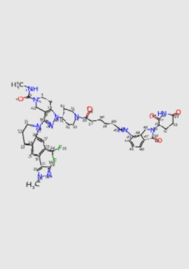 CNC(=O)N1CCc2c(c(N3CCCc4cc(-c5cnn(C)c5)c(C(F)F)cc43)nn2C2CCN(C(=O)CCCCCNc3cccc4c3CN(C3CCC(=O)NC3=O)C4=O)CC2)C1